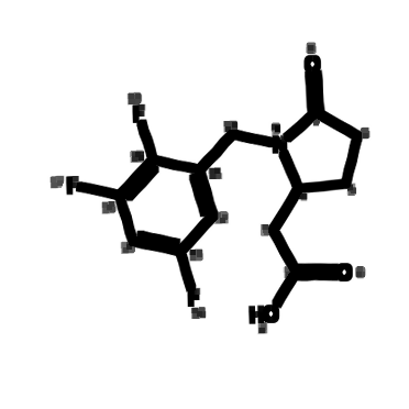 O=C(O)CC1CCC(=O)N1Cc1cc(F)cc(F)c1F